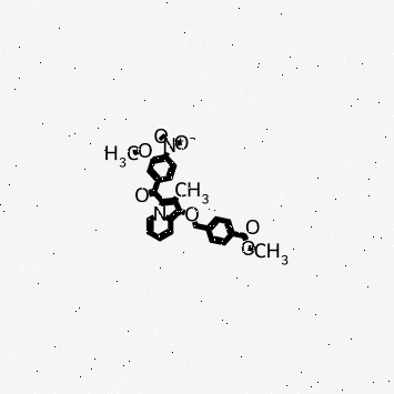 COC(=O)c1ccc(COc2c(C)c(C(=O)c3ccc([N+](=O)[O-])c(OC)c3)n3ccccc23)cc1